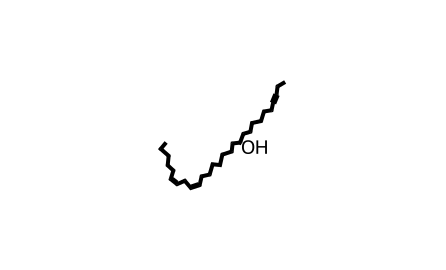 CCC#CCCCCCCC(O)CCCCCCC/C=C\C/C=C\CCCCC